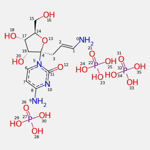 N/C=C/C[C@@]1(n2ccc(N)nc2=O)O[C@H](CO)[C@@H](O)[C@H]1O.O=P(O)(O)O.O=P(O)(O)O.O=P(O)(O)O